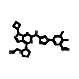 COc1cc(-n2cnc(Nc3nc(N4CCC[C@H]4CO)c4cnn(C5CCC5)c4n3)c2)cc(C)c1C